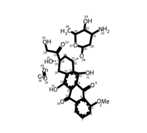 COc1cccc2c1C(=O)c1c(O)c3c(c(O)c1C2=O)C[C@@](O)(C(=O)CO)C[C@@H]3OC1CC(N)C(O)C(C)O1.[Gd].[O]=[Zn]